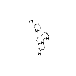 Clc1ccc(-c2ccnc3c2CCC2CNCCN32)nc1